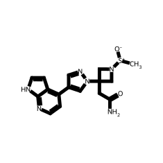 C[S+]([O-])N1CC(CC(N)=O)(n2cc(-c3ccnc4[nH]ccc34)cn2)C1